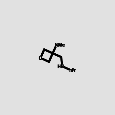 CCCNCC1(NC)COC1